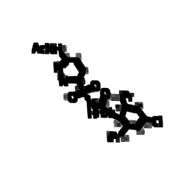 CC(=O)Nc1ccc(S(=O)(=O)NC(=O)Nc2c(C(C)C)cc(Cl)cc2C(C)C)nn1